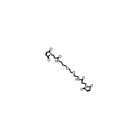 O=C(CCN1C(=O)C=CC1=O)NCCCOCCOCCNC(=O)CCN1C(=O)C=CC1=O